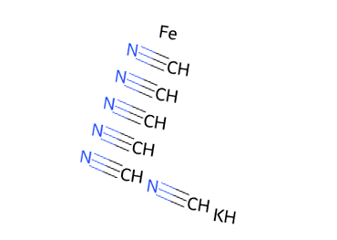 C#N.C#N.C#N.C#N.C#N.C#N.[Fe].[KH]